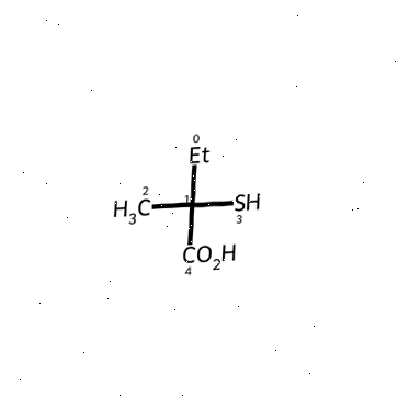 CCC(C)(S)C(=O)O